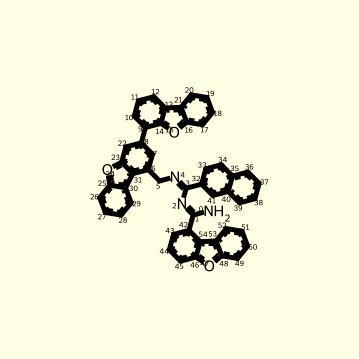 N/C(=N\C(=N/Cc1cc(-c2cccc3c2oc2ccccc23)cc2oc3ccccc3c12)c1ccc2ccccc2c1)c1cccc2oc3ccccc3c12